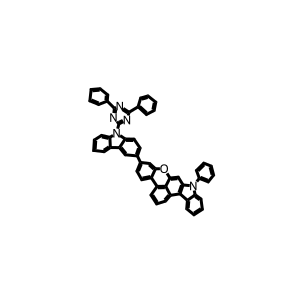 c1ccc(-c2nc(-c3ccccc3)nc(-n3c4ccccc4c4cc(-c5ccc6c(c5)Oc5cc7c(c8cccc-6c58)c5ccccc5n7-c5ccccc5)ccc43)n2)cc1